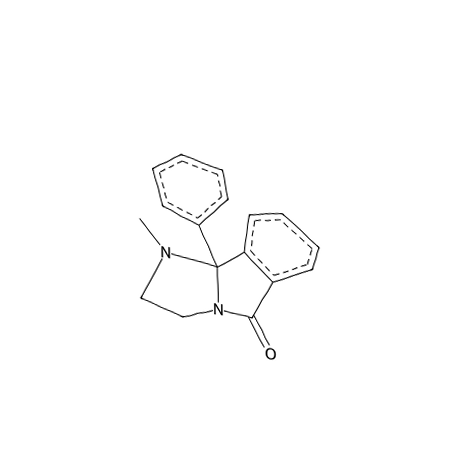 CN1CCN2C(=O)c3ccccc3C12c1ccccc1